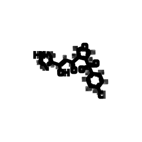 O=C(C=C(O)c1nc[nH]n1)c1cocc1S(=O)(=O)c1ccc(Cl)cc1